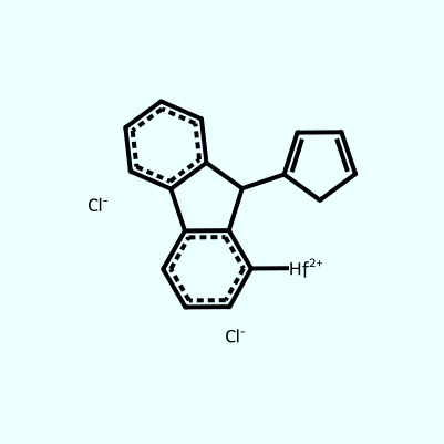 [Cl-].[Cl-].[Hf+2][c]1cccc2c1C(C1=CC=CC1)c1ccccc1-2